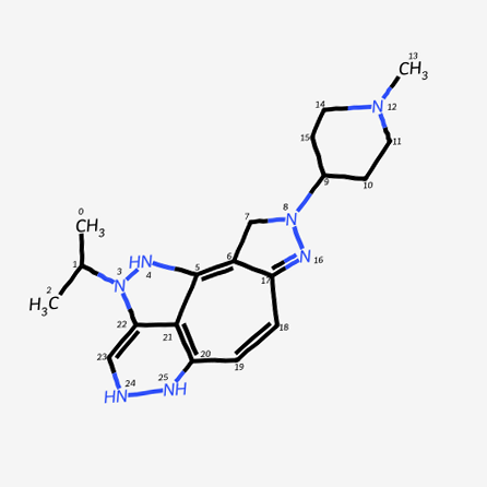 CC(C)N1NC2=C3CN(C4CCN(C)CC4)N=C3C=CC3=C2C1=CNN3